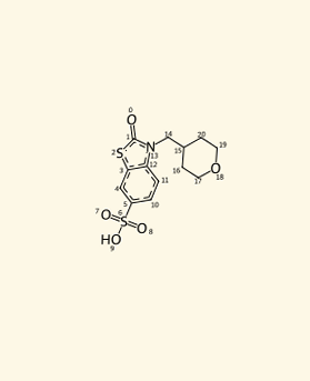 O=c1sc2cc(S(=O)(=O)O)ccc2n1CC1CCOCC1